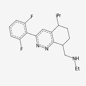 CCNCC1CCC(C(C)C)c2cc(-c3c(F)cccc3F)nnc21